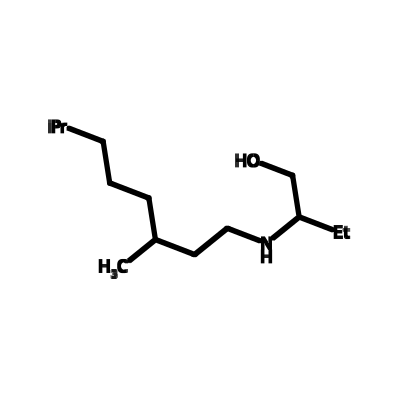 CCC(CO)NCCC(C)CCCC(C)C